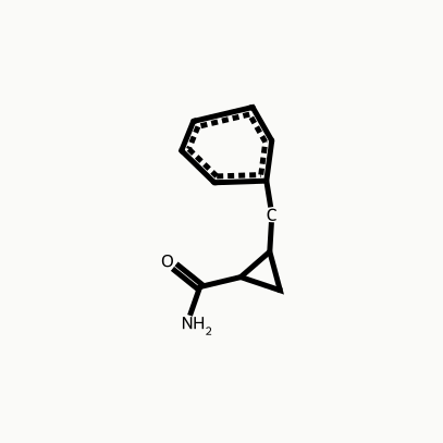 NC(=O)C1CC1Cc1ccccc1